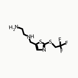 NCCNCc1cnc(SCC(F)(F)F)s1